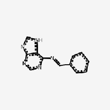 C(=Nc1ncnc2nc[nH]c12)c1ccccc1